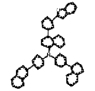 c1cc(-c2cc3ccccc3o2)cc(-c2ccc(N(c3ccc(-c4ccc5ccccc5c4)cc3)c3ccc(-c4cccc5ccccc45)cc3)c3ccccc23)c1